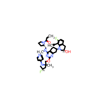 C#Cc1c(F)ccc2c1N([C@@H]1CCc3c(nc(OC[C@]4(C)C[C@@H](F)CN4c4ccncc4)nc3N(C)C[C@@H]3CCCN3C(=O)C=C)C1)C[C@H](O)C2